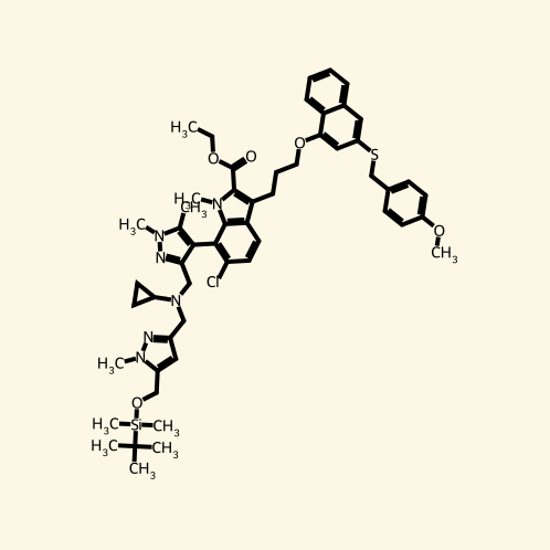 CCOC(=O)c1c(CCCOc2cc(SCc3ccc(OC)cc3)cc3ccccc23)c2ccc(Cl)c(-c3c(CN(Cc4cc(CO[Si](C)(C)C(C)(C)C)n(C)n4)C4CC4)nn(C)c3C)c2n1C